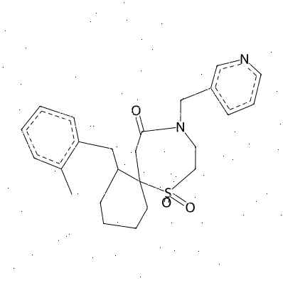 Cc1ccccc1CC1CCCCC12CC(=O)N(Cc1cccnc1)CCS2(=O)=O